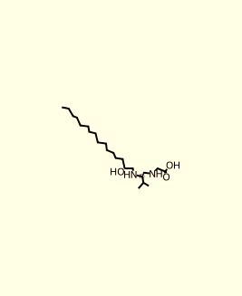 CCCCCCCCCCCCCCC(O)CN[C@@H](CNCC(=O)O)C(C)C